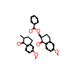 COc1ccc2c(c1)CCC(=COC(=O)c1ccccc1)C2=O.COc1ccc2c(c1)CCC(C)C2=O